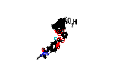 CC1=N/C(=C\c2ccc(OC(=O)OC3CCCC4(C3)OOC3(O4)C4CC5CC3CC(C(=O)O)(C5)C4)c(F)c2)C(=O)N1C